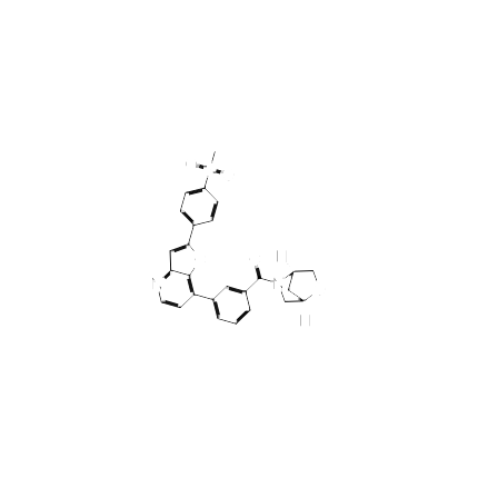 CS(=O)(=O)c1ccc(-c2cc3nccc(-c4cccc(C(=O)N5C[C@H]6C[C@@H]5CO6)c4)c3o2)cc1